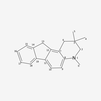 CN1CC(C)(C)Cc2c1ccc1c2Cc2ccccc2-1